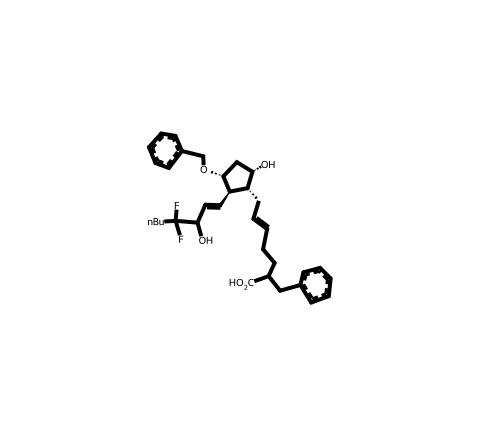 CCCCC(F)(F)C(O)C=C[C@@H]1[C@@H](CC=CCCC(Cc2ccccc2)C(=O)O)[C@@H](O)C[C@H]1OCc1ccccc1